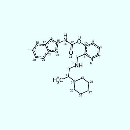 CC(CNCc1ncccc1OC(=O)Nc1cc2ccccc2s1)C1CCCCC1